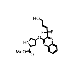 COC(=O)[C@@H]1C[C@H](Oc2nc3ccccc3nc2C(F)(F)/C=C/CO)CN1